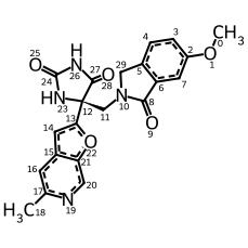 COc1ccc2c(c1)C(=O)N(C[C@@]1(c3cc4cc(C)ncc4o3)NC(=O)NC1=O)C2